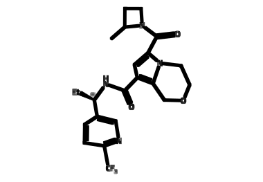 CC[C@@H](NC(=O)c1cc(C(=O)N2CCC2C)n2c1COCC2)c1ccc(C(F)(F)F)nc1